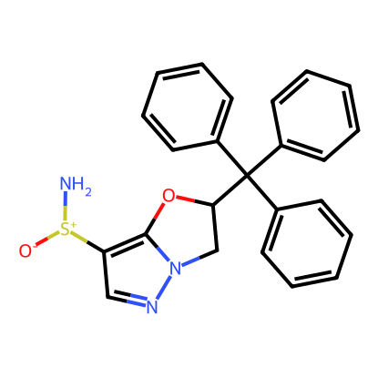 N[S+]([O-])c1cnn2c1OC(C(c1ccccc1)(c1ccccc1)c1ccccc1)C2